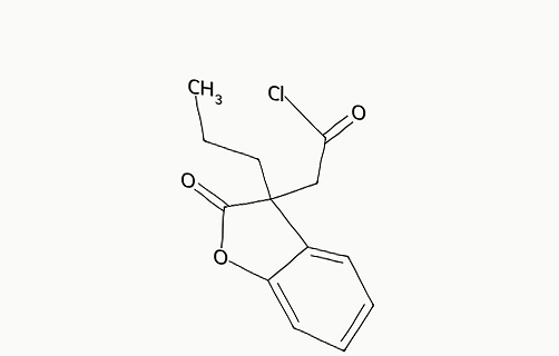 CCCC1(CC(=O)Cl)C(=O)Oc2ccccc21